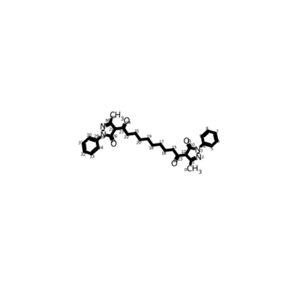 CC1=NN(c2ccccc2)C(=O)C1C(=O)CCCCCCCCC(=O)C1C(=O)N(c2ccccc2)N=C1C